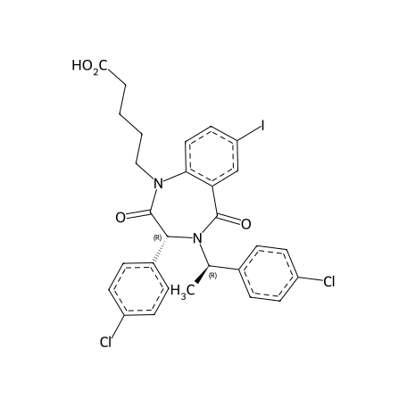 C[C@H](c1ccc(Cl)cc1)N1C(=O)c2cc(I)ccc2N(CCCCC(=O)O)C(=O)[C@H]1c1ccc(Cl)cc1